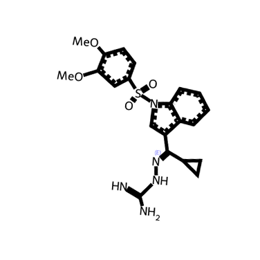 COc1ccc(S(=O)(=O)n2cc(/C(=N/NC(=N)N)C3CC3)c3ccccc32)cc1OC